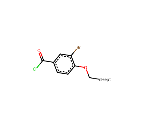 CCCCCCCCOc1ccc(C(=O)Cl)cc1Br